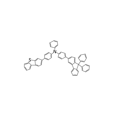 c1ccc(N(c2ccc(-c3ccc4c(c3)-c3ccccc3C4(c3ccccc3)c3ccccc3)cc2)c2ccc(-c3ccc4c(c3)sc3ccccc34)cc2)cc1